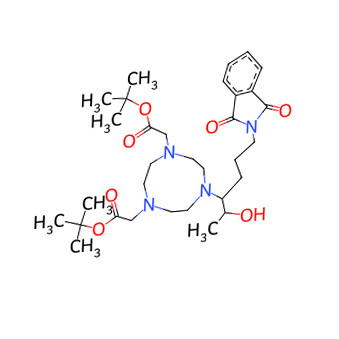 CC(O)C(CCCN1C(=O)c2ccccc2C1=O)N1CCN(CC(=O)OC(C)(C)C)CCN(CC(=O)OC(C)(C)C)CC1